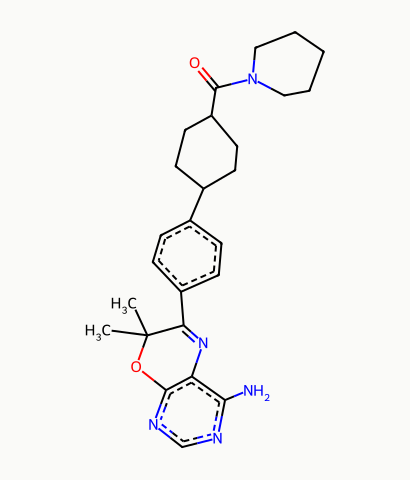 CC1(C)Oc2ncnc(N)c2N=C1c1ccc(C2CCC(C(=O)N3CCCCC3)CC2)cc1